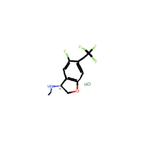 CN[C@@H]1COc2cc(C(F)(F)F)c(F)cc21.Cl